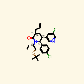 C=CC[C@@]1(C)C[C@H](c2cncc(Cl)c2)[C@@H](c2ccc(Cl)cc2)N([C@@H](CC)CSC(C)(C)C)C1=O